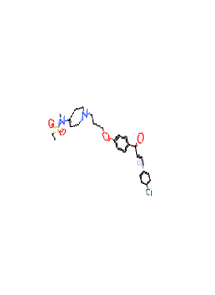 CCS(=O)(=O)N(C)C1CCN(CCCOc2ccc(C(=O)/C=C/c3ccc(Cl)cc3)cc2)CC1